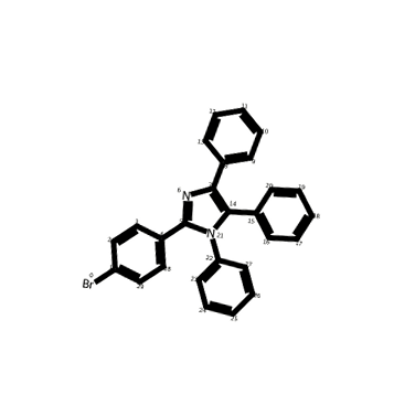 Brc1ccc(-c2nc(-c3ccccc3)c(-c3ccccc3)n2-c2ccccc2)cc1